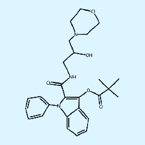 CC(C)(C)C(=O)Oc1c(C(=O)NCC(O)CN2CCOCC2)n(-c2ccccc2)c2ccccc12